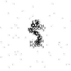 CC(C)N(C(=O)c1cc(F)ccc1Oc1cncnc1N1CC2(CCN(C[C@@H]3CC[C@@H](NS(=O)(=O)N(C)C(C)C)CO3)CC2)C1)C1CC(F)(F)C1